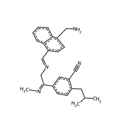 C/N=C(\C/N=C/c1ccc(CN)c2ccccc12)c1ccc(CC(C)C)c(C#N)c1